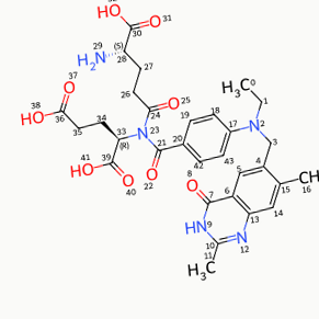 CCN(Cc1cc2c(=O)[nH]c(C)nc2cc1C)c1ccc(C(=O)N(C(=O)CC[C@H](N)C(=O)O)[C@H](CCC(=O)O)C(=O)O)cc1